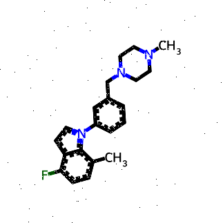 Cc1ccc(F)c2ccn(-c3cccc(CN4CCN(C)CC4)c3)c12